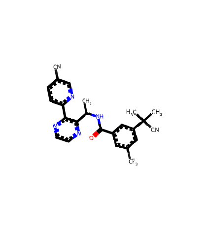 CC(NC(=O)c1cc(C(F)(F)F)cc(C(C)(C)C#N)c1)c1nccnc1-c1ccc(C#N)cn1